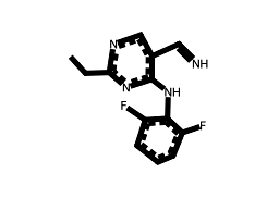 CCc1ncc(C=N)c(Nc2c(F)cccc2F)n1